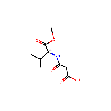 COC(=O)[C@@H](NC(=O)CC(=O)O)C(C)C